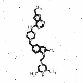 C[C@@H]1CN(CCn2c(C#N)cc3cc(CN4CCC(Nc5ncnc6sc(CC(F)(F)F)cc56)CC4)ccc32)C[C@@H](C)N1